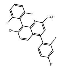 O=C(O)c1cc(-c2ccc(F)cc2F)c2cc[n+]([O-])c(-c3c(F)cccc3F)c2n1